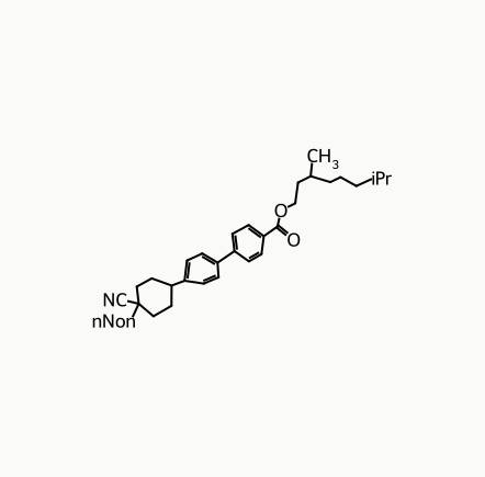 CCCCCCCCCC1(C#N)CCC(c2ccc(-c3ccc(C(=O)OCCC(C)CCCC(C)C)cc3)cc2)CC1